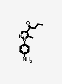 CCCC(=O)c1cnn(-c2ccc(N)cc2)c1C